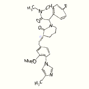 COc1cc(/C=C2\CCCN(C(C(=O)N(C)C)c3ccc(F)cc3)C2=O)ccc1-n1cnc(C)c1